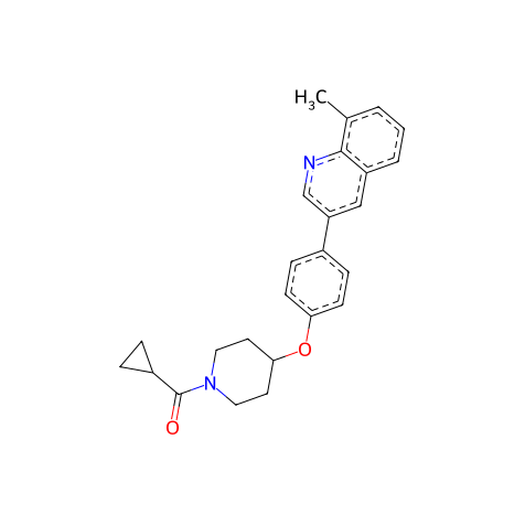 Cc1cccc2cc(-c3ccc(OC4CCN(C(=O)C5CC5)CC4)cc3)cnc12